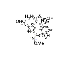 CO/N=C(\C(=O)O)c1csc(NC=O)n1.Cl.Nc1nc(-c2ccccc2)cs1.O